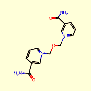 NC(=O)c1ccc[n+](COC[n+]2cccc(C(N)=O)c2)c1